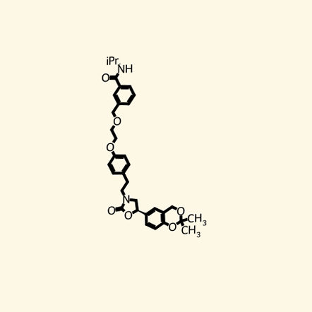 CC(C)NC(=O)c1cccc(COCCOc2ccc(CCN3C[C@@H](c4ccc5c(c4)COC(C)(C)O5)OC3=O)cc2)c1